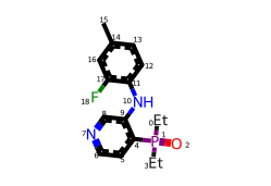 CCP(=O)(CC)c1ccncc1Nc1ccc(C)cc1F